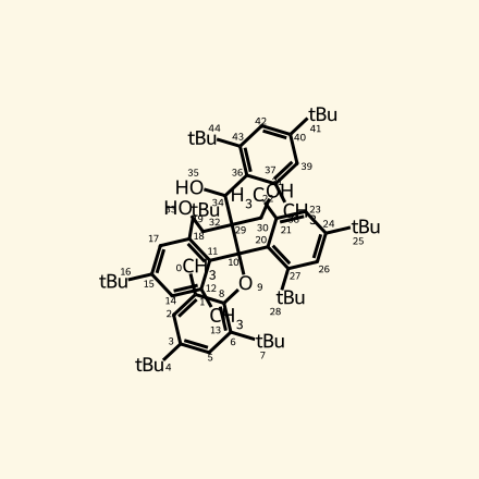 Cc1cc(C(C)(C)C)cc(C(C)(C)C)c1OC(c1c(C)cc(C(C)(C)C)cc1C(C)(C)C)(c1c(C)cc(C(C)(C)C)cc1C(C)(C)C)C(CO)(CO)C(O)c1c(C)cc(C(C)(C)C)cc1C(C)(C)C